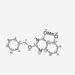 COc1nc(OCc2ccccc2)nc2cccc(Cl)c12